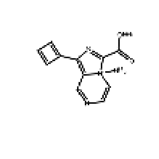 COC(=O)C1=NC(C2=CC=C2)=C2C=NC=C[N+]12N